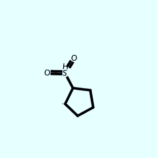 O=[SH](=O)C1[CH]CCC1